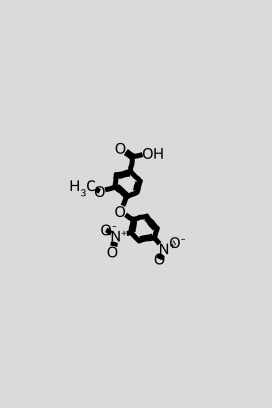 COc1cc(C(=O)O)ccc1Oc1ccc([N+](=O)[O-])cc1[N+](=O)[O-]